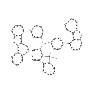 CC1(C)c2ccccc2-c2cccc(N(c3ccc(-c4cccc5oc6ccccc6c45)cc3)c3cccc(-c4cccc5oc6c7ccccc7ccc6c45)c3)c21